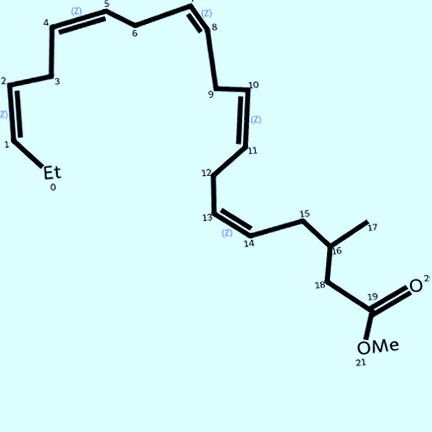 CC/C=C\C/C=C\C/C=C\C/C=C\C/C=C\CC(C)CC(=O)OC